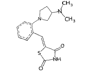 CN(C)C1CCN(c2ccccc2/C=C2\SC(=O)NC2=O)C1